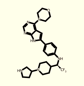 FC(F)(F)[C@H](Nc1ccc(-c2cc3c(N4CCOCC4)ncnc3[nH]2)cc1)C1CCN(C2CCNC2)CC1